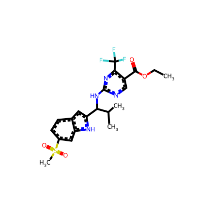 CCOC(=O)c1cnc(NC(c2cc3ccc(S(C)(=O)=O)cc3[nH]2)C(C)C)nc1C(F)(F)F